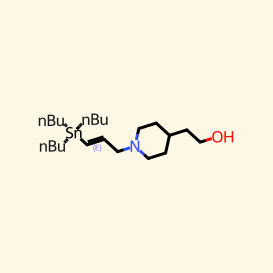 CCC[CH2][Sn](/[CH]=C/CN1CCC(CCO)CC1)([CH2]CCC)[CH2]CCC